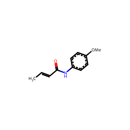 C/C=C/C(=O)Nc1ccc(OC)cc1